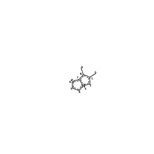 Cc1cn2ccsc2c1C